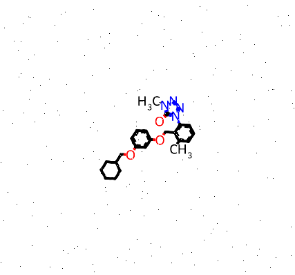 Cc1cccc(-n2nnn(C)c2=O)c1COc1cccc(OCC2CCCCC2)c1